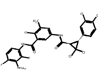 CC(=O)Nc1c(F)ccc(NC(=O)c2cc(NC(=O)[C@H]3[C@H](c4ccc(Cl)c(Cl)c4)C3(Cl)Cl)cc(C)c2Cl)c1F